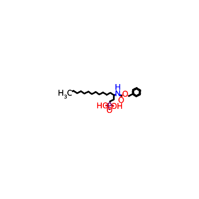 CCCCCCCCCCCCC(CCP(=O)(O)O)NC(=O)OCc1ccccc1